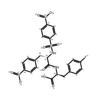 O=C(O)[C@H](Cc1ccc(F)cc1)NC(=O)[C@H](Cc1ccc([N+](=O)[O-])cc1)NS(=O)(=O)c1ccc([N+](=O)[O-])cc1